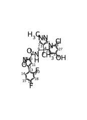 Cn1cc(C(C)(CNC(=O)c2cc(-c3ccc(F)cc3F)on2)c2cc(O)cc(Cl)n2)cn1